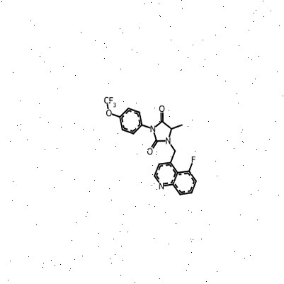 CC1C(=O)N(c2ccc(OC(F)(F)F)cc2)C(=O)N1Cc1ccnc2cccc(F)c12